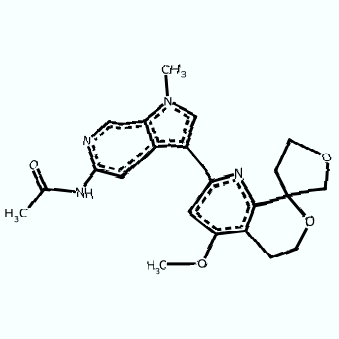 COc1cc(-c2cn(C)c3cnc(NC(C)=O)cc23)nc2c1CCOC21CCOC1